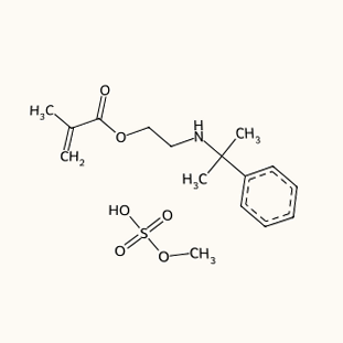 C=C(C)C(=O)OCCNC(C)(C)c1ccccc1.COS(=O)(=O)O